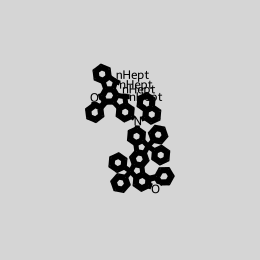 CCCCCCCC1(CCCCCCC)c2ccccc2-c2c1c1c(c3c2oc2ccccc23)-c2ccc(N(c3ccc4c(c3)C(c3ccccc3)(c3ccccc3)c3cc5c(cc3-4)C(c3ccccc3)(c3ccccc3)c3ccc4oc6ccccc6c4c3-5)c3cccc4ccccc34)cc2C1(CCCCCCC)CCCCCCC